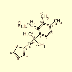 Cc1ccc([C](C)(C)[Ti+2][C]2=CC=CC2)c(C)c1C.[Cl-].[Cl-]